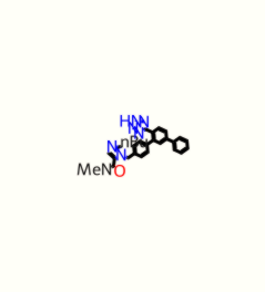 CCCCc1ncc(C(=O)NC)n1Cc1ccc(-c2cc(-c3ccccc3)ccc2-c2nn[nH]n2)cc1